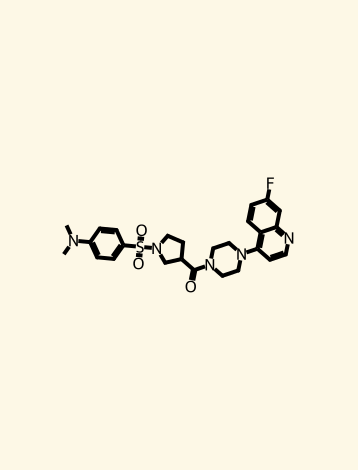 CN(C)c1ccc(S(=O)(=O)N2CCC(C(=O)N3CCN(c4ccnc5cc(F)ccc45)CC3)C2)cc1